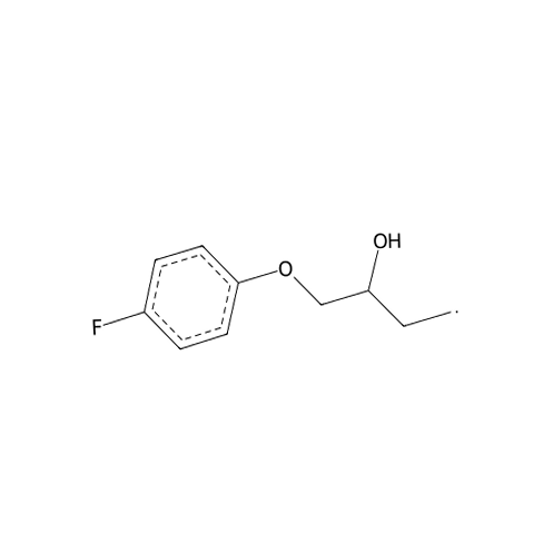 [CH2]CC(O)COc1ccc(F)cc1